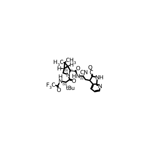 CC(C)(C)[C@H](NC(=O)C(F)(F)F)C(=O)N1C[C@H]2[C@@H]([C@H]1C(=O)N[C@H](C#N)CC1C(=C=O)Nc3ncccc31)C2(C)C